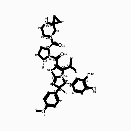 COc1ccc([C@]2(C)N=C3SC(C(=O)N4[C@H](C)CC[C@H]4C(=O)N4CCNC5(CC5)C4)=C(C(C)C)N3[C@@H]2c2ccc(Cl)c(F)c2)cc1